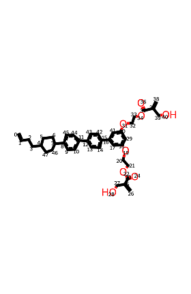 C=CCCC1CCC(c2ccc(-c3ccc(-c4cc(OCCOC(=O)C(=C)CO)cc(OCCOC(=O)C(=C)CO)c4)cc3)cc2)CC1